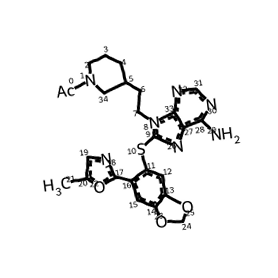 CC(=O)N1CCCC(CCn2c(Sc3cc4c(cc3-c3ncc(C)o3)OCO4)nc3c(N)ncnc32)C1